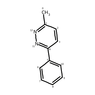 Cc1ccc(-c2[c]cccc2)nn1